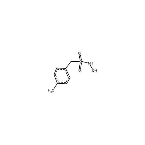 Cc1ccc(CS(=O)(=O)NO)cc1